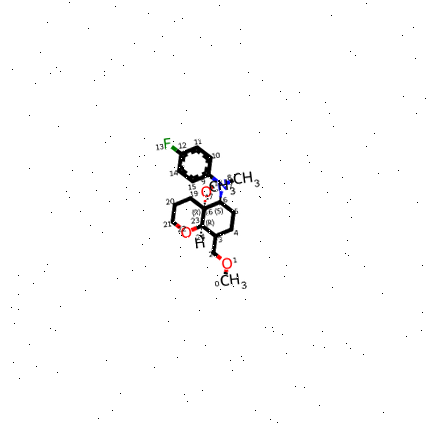 COCC1CC[C@H](N(C)c2ccc(F)cc2)[C@]2(OC)CCCO[C@H]12